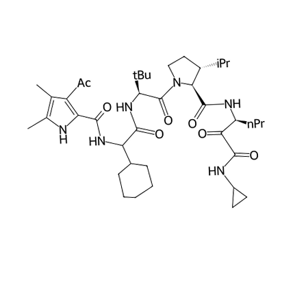 CCC[C@H](NC(=O)[C@@H]1[C@@H](C(C)C)CCN1C(=O)[C@@H](NC(=O)C(NC(=O)c1[nH]c(C)c(C)c1C(C)=O)C1CCCCC1)C(C)(C)C)C(=O)C(=O)NC1CC1